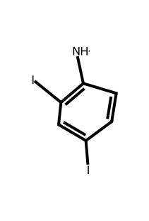 [NH]c1ccc(I)cc1I